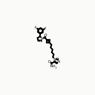 NC(=O)c1cnnn1CCCCCCC12CC(C(=O)N3N=CCC3c3cc(F)cc(F)c3)(C1)C2